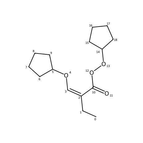 CCC(=COC1CCCC1)C(=O)OOC1CCCC1